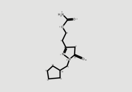 NC(=O)OCCC1=NN(CC2CCCC2)C(=O)C1